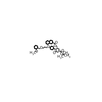 COc1ccccc1COCCCOc1ccc(N2C(=O)CN(C(=O)OC(C)(C)C)C[C@@H]2COC(=O)c2ccc3ccccc3c2)cc1